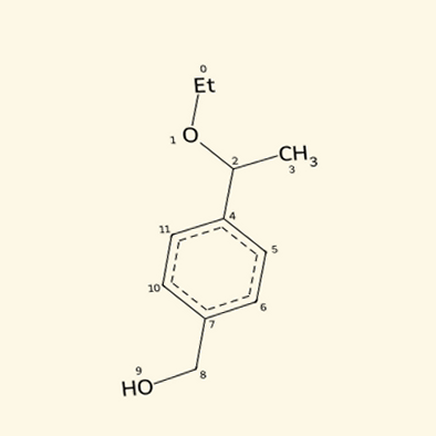 CCOC(C)c1ccc(CO)cc1